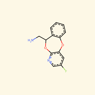 NCC1Oc2ncc(F)cc2Oc2ccccc21